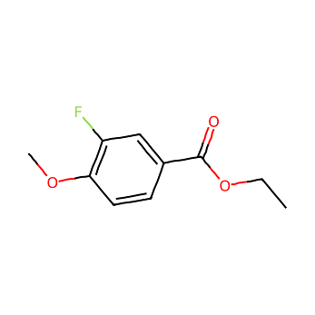 CCOC(=O)c1ccc(OC)c(F)c1